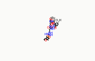 Cc1c(C)c(S(=O)(=O)NC(=N)NCCCC(NC(=O)CNC(=O)C2CC/C=C\CCC2)C(=O)NCC(=O)CC(CC(=O)OC(C)(C)C)C(=O)NC(COC(C)(C)C)C(=O)O)c(C)c2c1OC(C)(C)C2